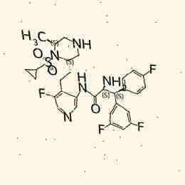 C[C@H]1CNC[C@H](CCc2c(F)cncc2NC(=O)[C@@H](N)[C@@H](c2ccc(F)cc2)c2cc(F)cc(F)c2)N1S(=O)(=O)C1CC1